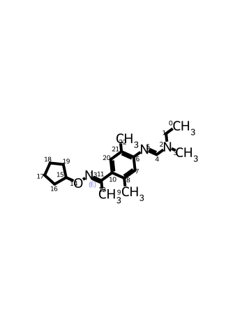 CCN(C)C=Nc1cc(C)c(/C(C)=N/OC2CCCC2)cc1C